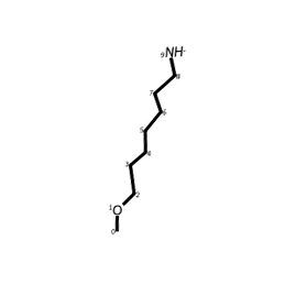 COCCCCCCC[NH]